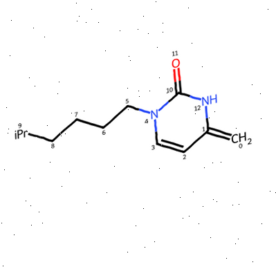 C=C1C=CN(CCCCC(C)C)C(=O)N1